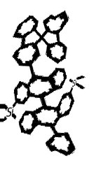 C[Si](C)(C)c1ccc2c(-c3ccccc3)c3ccccc3c(-c3c4ccccc4c(-c4ccc5c(c4)C4(c6ccccc6-c6ccccc64)c4ccccc4-5)c4ccc([Si](C)(C)C)cc34)c2c1